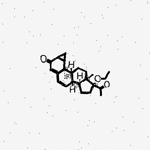 CCO[C@]1(C(C)=O)CC[C@H]2[C@@H]3C=CC4=CC(=O)C5CC5[C@@]4(C)[C@@H]3CC[C@@]21C